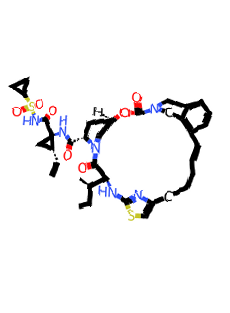 C=C[C@@H]1C[C@]1(NC(=O)[C@@H]1C[C@@H]2CN1C(=O)[C@H]([C@H](C)CC)Nc1nc(cs1)CCC/C=C/c1cccc3c1CN(C3)C(=O)O2)C(=O)NS(=O)(=O)C1CC1